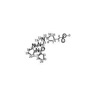 COC(=O)/C=C/c1ccc(CN2CCN(c3nc4ccccc4n3C(=O)c3ccccc3)CC2)cc1